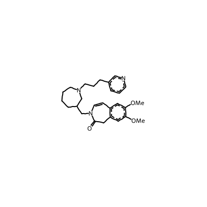 COc1cc2c(cc1OC)CC(=O)N(CC1CCCCN(CCCc3cccnc3)C1)C=C2